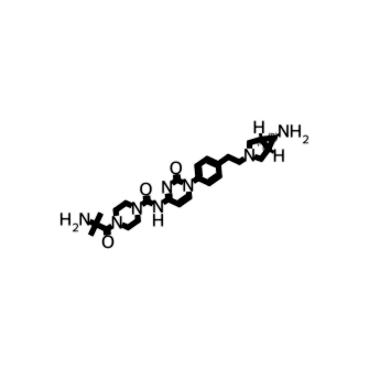 CC(C)(N)C(=O)N1CCN(C(=O)Nc2ccn(-c3ccc(CCN4C[C@@H]5[C@H](N)[C@@H]5C4)cc3)c(=O)n2)CC1